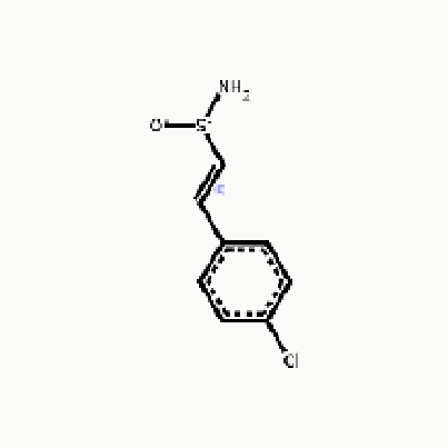 N[S+]([O-])/C=C/c1ccc(Cl)cc1